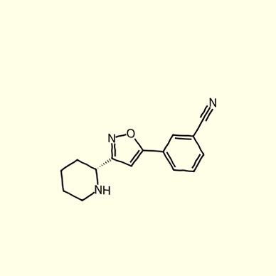 N#Cc1cccc(-c2cc([C@H]3CCCCN3)no2)c1